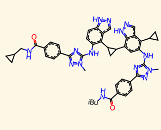 CCC(C)NC(=O)c1ccc(-c2nc(Nc3cc(C4CC4c4c(Nc5nc(-c6ccc(C(=O)NCC7CC7)cc6)nn5C)ccc5[nH]ncc45)c4[nH]ncc4c3C3CC3)n(C)n2)cc1